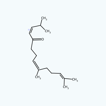 CC(C)=CCCC(C)=CCCC(=O)/C=C\C(C)C